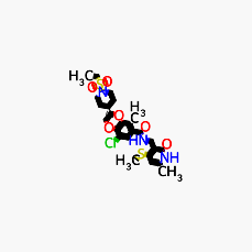 CCS(=O)(=O)N1CCC([C@H]2COc3c(Cl)cc(C(=O)NCc4c(SC)cc(C)[nH]c4=O)c(C)c3O2)CC1